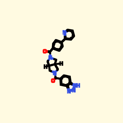 O=C(c1ccc(-c2ccccn2)cc1)N1C[C@@H]2CN(C(=O)c3ccc4[nH]nnc4c3)C[C@H]2C1